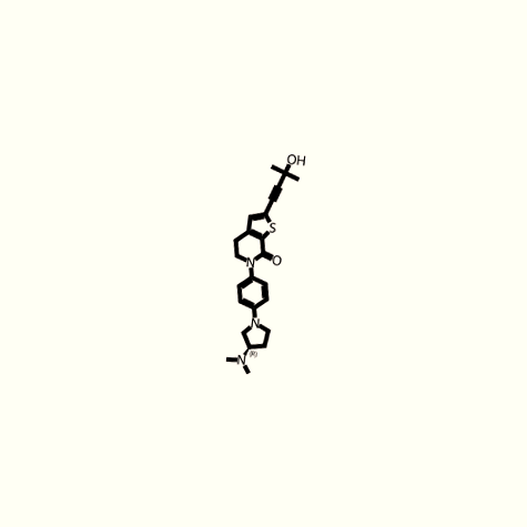 CN(C)[C@@H]1CCN(c2ccc(N3CCc4cc(C#CC(C)(C)O)sc4C3=O)cc2)C1